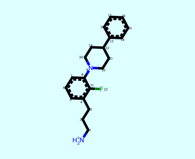 NCCCc1cccc(N2CCC(c3ccccc3)CC2)c1F